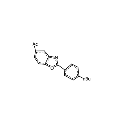 CCCCc1ccc(-c2nc3cc(C(C)=O)ccc3o2)cc1